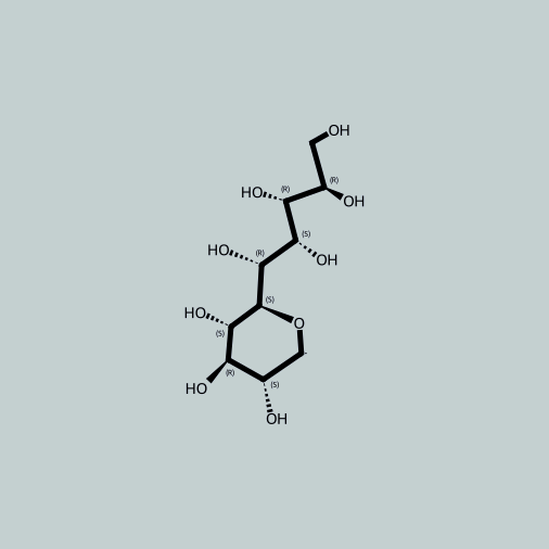 OC[C@@H](O)[C@@H](O)[C@H](O)[C@@H](O)[C@H]1O[CH][C@H](O)[C@@H](O)[C@@H]1O